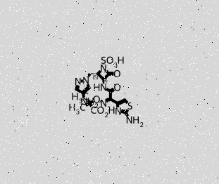 CC(C)(ON=C(C(=O)N[C@@H]1C(=O)N(S(=O)(=O)O)[C@H]1Cn1cc(N)cn1)c1csc(N)n1)C(=O)O